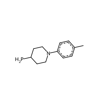 Cc1ccc(N2CCC(P)CC2)cc1